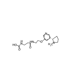 CN1CCC[C@H]1c1cncc(OCCNC(=O)CCNC(=O)O)c1